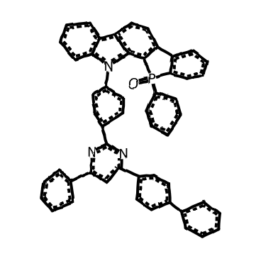 O=P1(c2ccccc2)c2ccccc2-c2ccc3c4ccccc4n(-c4ccc(-c5nc(-c6ccccc6)cc(-c6ccc(-c7ccccc7)cc6)n5)cc4)c3c21